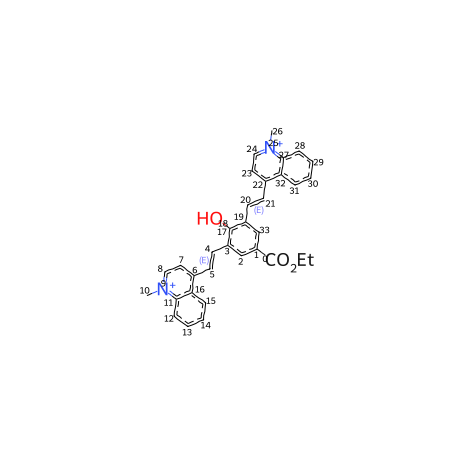 CCOC(=O)c1cc(/C=C/c2cc[n+](C)c3ccccc23)c(O)c(/C=C/c2cc[n+](C)c3ccccc23)c1